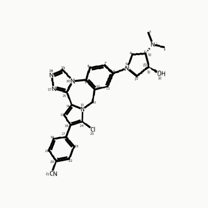 CN(C)[C@H]1CN(c2ccc3c(c2)Cn2c(cc(-c4ccc(C#N)cc4)c2Cl)-c2nncn2-3)C[C@@H]1O